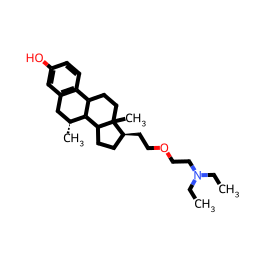 CCN(CC)CCOCC[C@H]1CCC2C3C(CCC21C)c1ccc(O)cc1C[C@H]3C